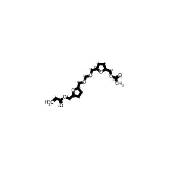 C=CC(=O)OCC1CCC(COCOCC2CCC(COC(C)=O)O2)O1